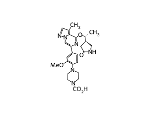 COc1cc(-c2cn3ncc(C)c3c(O[C@H](C)[C@H]3CNC(=O)C3)n2)ccc1N1CCN(C(=O)O)CC1